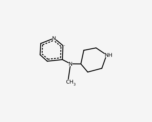 CN(c1[c]nccc1)C1CCNCC1